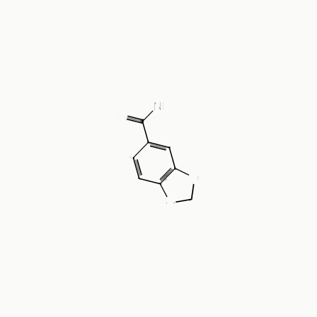 NC(=O)c1ccc2c(c1)OCO2